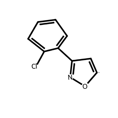 Clc1ccccc1-c1c[c]on1